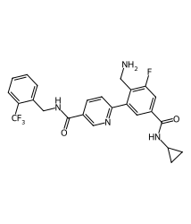 NCc1c(F)cc(C(=O)NC2CC2)cc1-c1ccc(C(=O)NCc2ccccc2C(F)(F)F)cn1